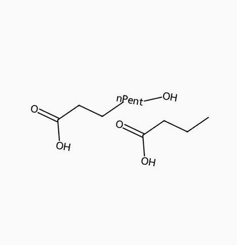 CCCC(=O)O.CCCC(=O)O.CCCCCO